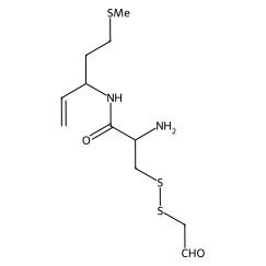 C=CC(CCSC)NC(=O)C(N)CSSCC=O